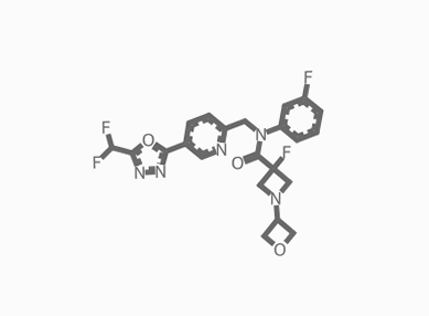 O=C(N(Cc1ccc(-c2nnc(C(F)F)o2)cn1)c1cccc(F)c1)C1(F)CN(C2COC2)C1